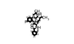 C/C=C\C=C(/C)C[C@@H](NC(=O)c1ccccc1F)C(=O)Nc1cc(F)ccc1N1CCNC(C)C1